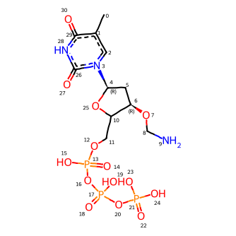 Cc1cn([C@H]2C[C@@H](OCN)C(COP(=O)(O)OP(=O)(O)OP(=O)(O)O)O2)c(=O)[nH]c1=O